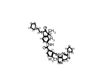 Cc1ccc(C(=O)Nc2ccc3c(c2)C(C)(C)C(=O)N3CCN2CCCC2)cc1Nc1ncnc2cnc(N3CCCC3)nc12